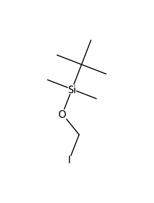 CC(C)(C)[Si](C)(C)OCI